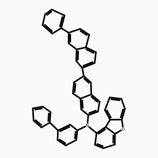 c1ccc(-c2cccc(N(c3ccc4cc(-c5ccc6ccc(-c7ccccc7)cc6c5)ccc4c3)c3cccc4oc5ccccc5c34)c2)cc1